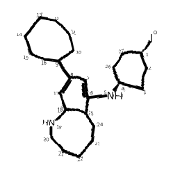 I[C@H]1CC[C@@H](NC2=CC(C3CCCCCCC3)=CC3NCCCCCC23)CC1